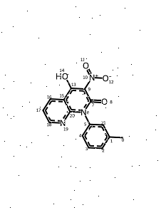 Cc1cccc(-n2c(=O)c([N+](=O)[O-])c(O)c3cccnc32)c1